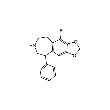 Brc1c2c(cc3c1OCO3)C(c1ccccc1)CNCC2